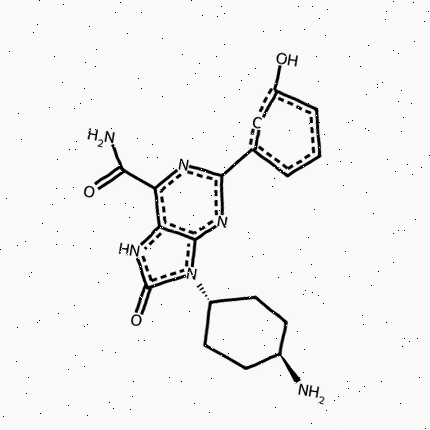 NC(=O)c1nc(-c2cccc(O)c2)nc2c1[nH]c(=O)n2[C@H]1CC[C@H](N)CC1